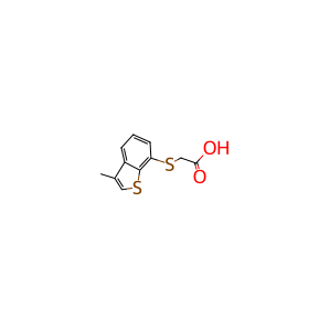 Cc1csc2c(SCC(=O)O)cccc12